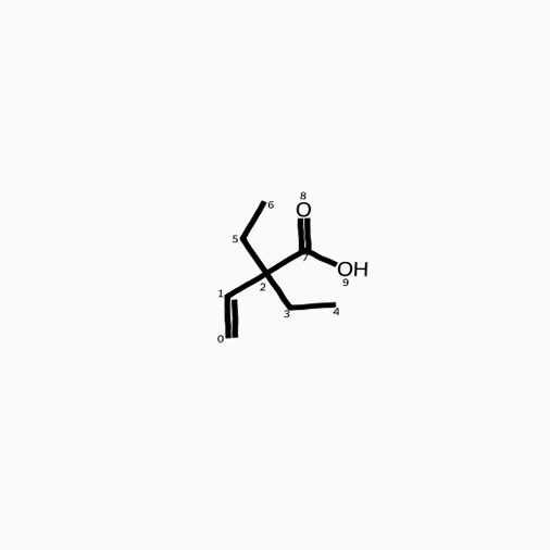 C=CC(CC)(CC)C(=O)O